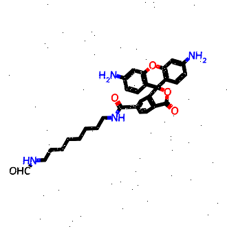 Nc1ccc2c(c1)Oc1cc(N)ccc1C21OC(=O)c2ccc(C(=O)NCCCCCCCCNC=O)cc21